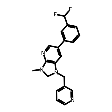 CN1CN(Cc2cccnc2)c2cc(-c3cccc(C(F)F)c3)cnc21